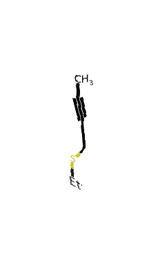 CC#CCS[CH]C